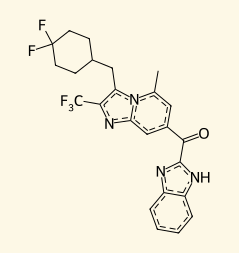 Cc1cc(C(=O)c2nc3ccccc3[nH]2)cc2nc(C(F)(F)F)c(CC3CCC(F)(F)CC3)n12